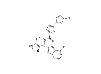 CC(C)c1cccn2nc([C@@H]3c4nc[nH]c4CCN3C(=O)c3nnc(-c4cnn(C(F)(F)F)c4)o3)cc12